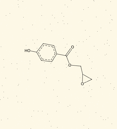 O=C(OCC1CO1)c1ccc(O)cc1